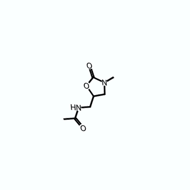 CC(=O)NCC1CN(C)C(=O)O1